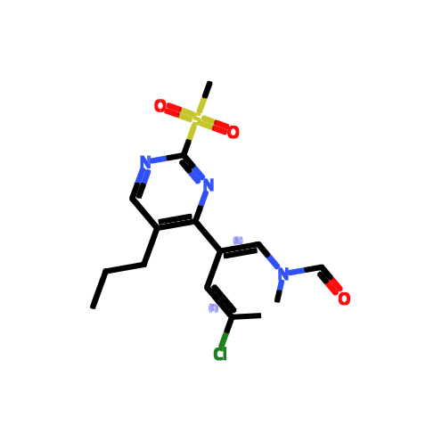 CCCc1cnc(S(C)(=O)=O)nc1C(/C=C(\C)Cl)=C/N(C)C=O